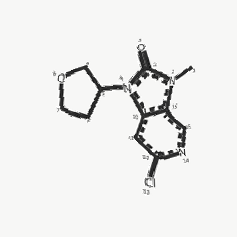 Cn1c(=O)n(C2CCOC2)c2cc(Cl)ncc21